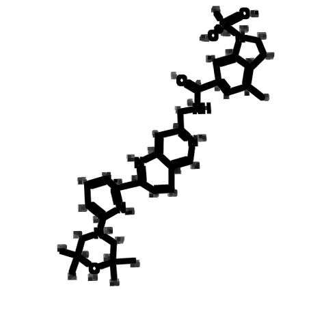 Cc1cc(C(=O)NCc2cc3nc(-c4cccc(N5CC(C)(C)OC(C)(C)C5)n4)ccc3cn2)cc2c1CCN2S(C)(=O)=O